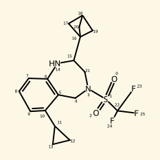 O=S(=O)(N1Cc2c(cccc2C2CC2)NC(C23CC(C2)C3)C1)C(F)(F)F